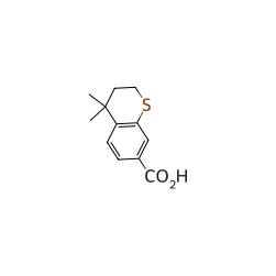 CC1(C)CCSc2cc(C(=O)O)ccc21